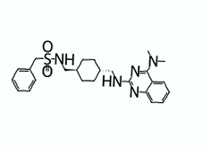 CN(C)c1nc(NC[C@H]2CC[C@H](CNS(=O)(=O)Cc3ccccc3)CC2)nc2ccccc12